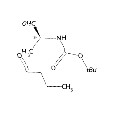 CCCC=O.C[C@@H](C=O)NC(=O)OC(C)(C)C